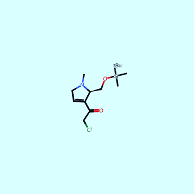 CN1CC=C(C(=O)CCl)[C@@H]1CO[Si](C)(C)C(C)(C)C